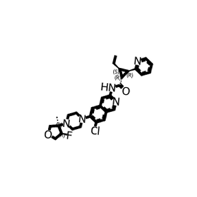 CC[C@@H]1[C@@H](C(=O)Nc2cc3cc(N4CCN([C@]5(C)COC[C@@H]5F)CC4)c(Cl)cc3cn2)[C@@H]1c1ccccn1